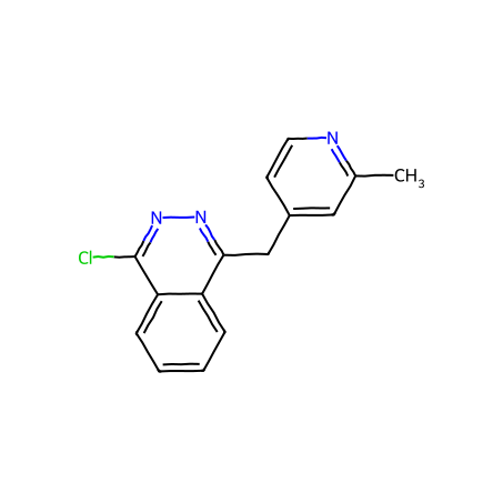 Cc1cc(Cc2nnc(Cl)c3ccccc23)ccn1